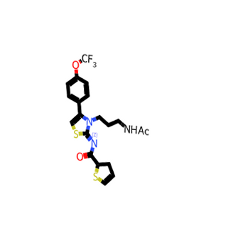 CC(=O)NCCCn1c(-c2ccc(OC(F)(F)F)cc2)cs/c1=N\C(=O)C1CC=CS1